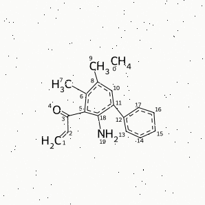 C.C=CC(=O)c1c(C)c(C)cc(-c2ccccc2)c1N